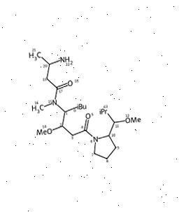 CCC(C)C(C(CC(=O)N1CCCC1C(OC)C(C)C)OC)N(C)C(=O)CC(C)N